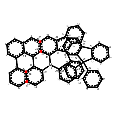 c1ccc(-c2cccc3cccc(-c4ccccc4N(c4cccc(C5(c6ccccc6)c6ccccc6-c6ccccc65)c4)c4cccc5c6ccccc6n(-c6ccccc6)c45)c23)cc1